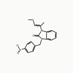 CS/C=C(\C)n1c(=O)n(Cc2ccc([N+](=O)[O-])cc2)c2ccccc21